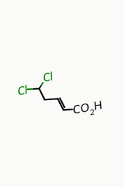 O=C(O)C=CCC(Cl)Cl